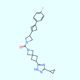 O=C(N1CC(C23CC(c4ccc(F)cc4)(C2)C3)C1)N1CC2(CC(c3nc(C4CC4)n[nH]3)C2)C1